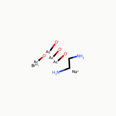 CC(=O)[O-].CC(=O)[O-].CC(=O)[O-].CC(=O)[O-].NCCN.[Bi+3].[Na+]